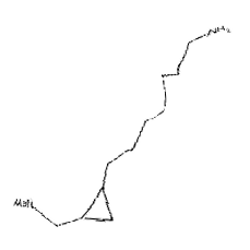 CNCC1CC1CCCCCCCN